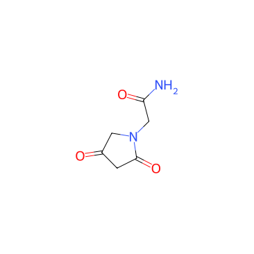 NC(=O)CN1CC(=O)CC1=O